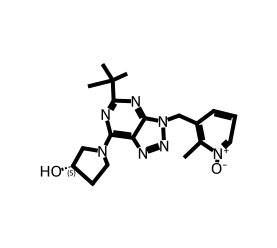 Cc1c(Cn2nnc3c(N4CC[C@H](O)C4)nc(C(C)(C)C)nc32)ccc[n+]1[O-]